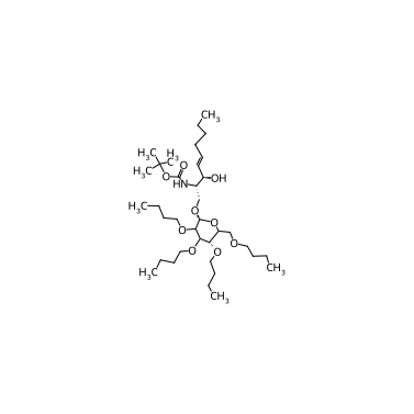 CCCC/C=C/[C@@H](O)[C@H](CO[C@H]1OC(COCCCC)[C@H](OCCCC)C(OCCCC)C1OCCCC)NC(=O)OC(C)(C)C